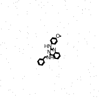 COc1ccc(Nc2nc(NCc3ccccc3)c3ccccc3n2)cc1